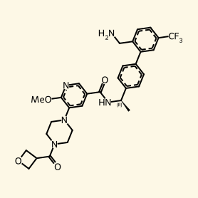 COc1ncc(C(=O)N[C@H](C)c2ccc(-c3cc(C(F)(F)F)ccc3CN)cc2)cc1N1CCN(C(=O)C2COC2)CC1